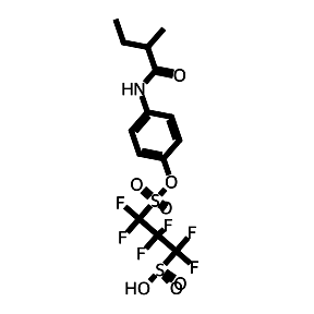 CCC(C)C(=O)Nc1ccc(OS(=O)(=O)C(F)(F)C(F)(F)C(F)(F)S(=O)(=O)O)cc1